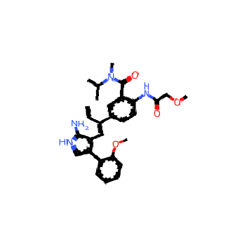 C=C/C(=C\c1c(-c2ccccc2OC)c[nH]c1N)c1ccc(NC(=O)COC)c(C(=O)N(C)C(C)C)c1